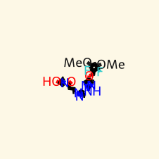 COc1cc(OC)c(F)c(COc2cnc(Nc3cnn(CCCC(=O)N4CC(O)C4)c3)nc2)c1F